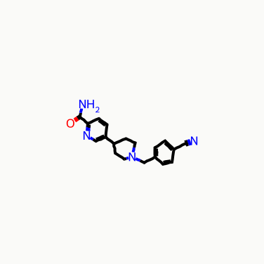 N#Cc1ccc(CN2CCC(c3ccc(C(N)=O)nc3)CC2)cc1